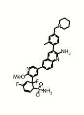 COc1ncc(-c2ccc3nc(N)c(-c4ccc(CN5CCCCC5)cc4C)cc3c2)cc1C1(F)C=C(F)C=CC1S(N)(=O)=O